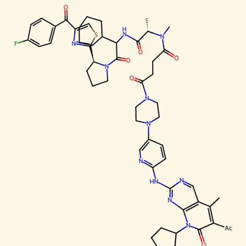 CC(=O)c1c(C)c2cnc(Nc3ccc(N4CCN(C(=O)CCC(=O)N(C)[C@@H](C)C(=O)NC(C(=O)N5CCC[C@H]5c5nc(C(=O)c6ccc(F)cc6)cs5)C5CCCCC5)CC4)cn3)nc2n(C2CCCC2)c1=O